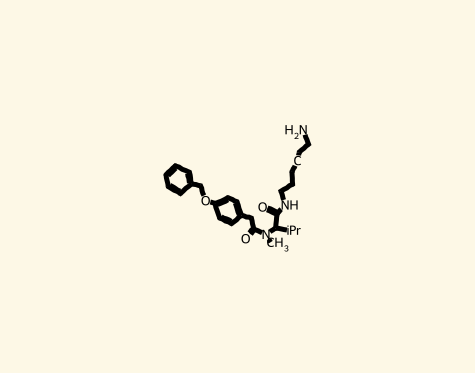 CC(C)C(C(=O)NCCCCCCN)N(C)C(=O)Cc1ccc(OCc2ccccc2)cc1